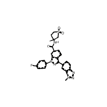 Cn1nnc2ccc(-c3nn(-c4ccc(F)cc4)c4cc(C(=O)NC5(C)CCS(=O)(=O)C5)ccc34)cc21